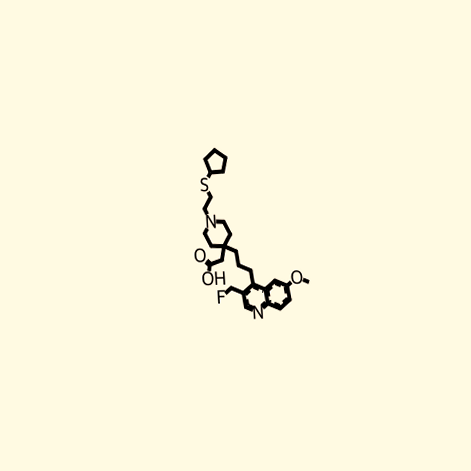 COc1ccc2ncc(CF)c(CCCC3(CC(=O)O)CCN(CCSC4CCCC4)CC3)c2c1